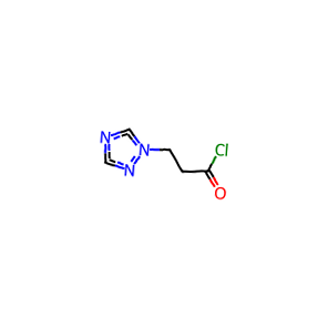 O=C(Cl)CCn1cncn1